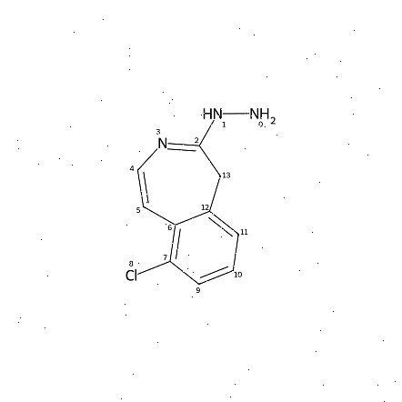 NNC1=NC=Cc2c(Cl)cccc2C1